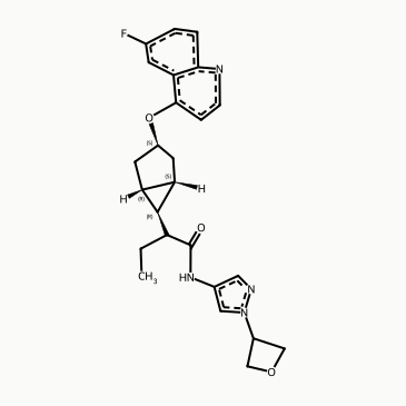 CCC(C(=O)Nc1cnn(C2COC2)c1)[C@H]1[C@@H]2C[C@@H](Oc3ccnc4ccc(F)cc34)C[C@@H]21